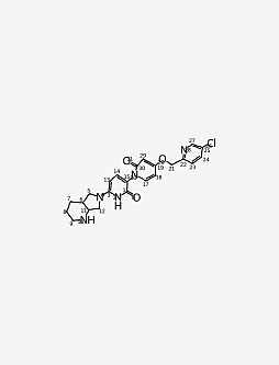 O=c1[nH]c(N2CC3CCCNC3C2)ccc1-n1ccc(OCc2ccc(Cl)cn2)cc1=O